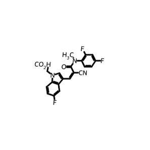 CN(C(=O)C(C#N)=Cc1cn(CC(=O)O)c2ccc(F)cc12)c1ccc(F)cc1F